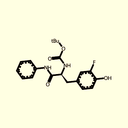 CC(C)(C)OC(=O)N[C@@H](Cc1ccc(O)c(F)c1)C(=O)Nc1ccccc1